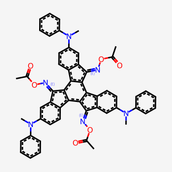 CC(=O)O/N=c1\c2cc(N(C)c3ccccc3)ccc2c2c1c1c3ccc(N(C)c4ccccc4)cc3/c(=N\OC(C)=O)c1c1c3ccc(N(C)c4ccccc4)cc3/c(=N\OC(C)=O)c21